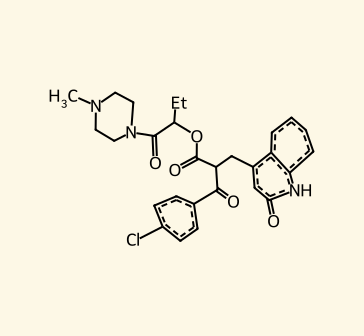 CCC(OC(=O)C(Cc1cc(=O)[nH]c2ccccc12)C(=O)c1ccc(Cl)cc1)C(=O)N1CCN(C)CC1